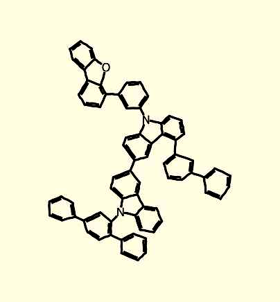 c1ccc(-c2cccc(-c3cccc4c3c3cc(-c5ccc6c(c5)c5ccccc5n6-c5cc(-c6ccccc6)ccc5-c5ccccc5)ccc3n4-c3cccc(-c4cccc5c4oc4ccccc45)c3)c2)cc1